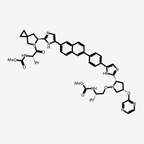 COC(=O)N[C@H](C(=O)N1CC2(CC2)C[C@H]1c1ncc(-c2ccc3cc(-c4ccc(-c5cnc([C@@H]6C[C@H](Oc7cnccn7)CN6OC[C@@H](NC(=O)OC)C(C)C)[nH]5)cc4)ccc3c2)[nH]1)C(C)C